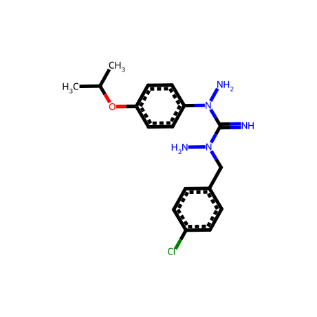 CC(C)Oc1ccc(N(N)C(=N)N(N)Cc2ccc(Cl)cc2)cc1